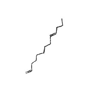 CCCC=CCCCCCCC=O